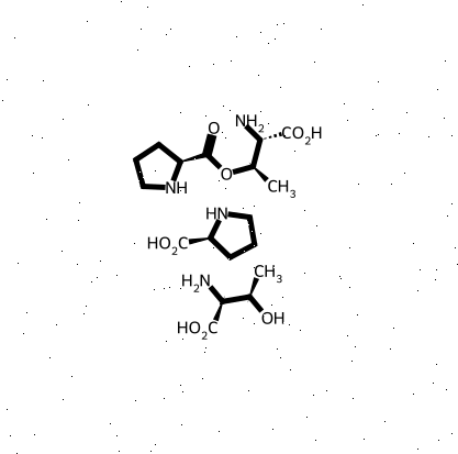 C[C@@H](O)[C@H](N)C(=O)O.C[C@@H](OC(=O)[C@@H]1CCCN1)[C@H](N)C(=O)O.O=C(O)[C@@H]1CCCN1